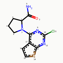 NC(=O)C1CCCN1c1nc(Cl)nc2sccc12